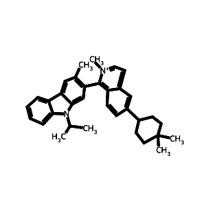 Cc1cc2c3ccccc3n(C(C)C)c2cc1-c1c2ccc(C3CCC(C)(C)CC3)cc2cc[n+]1C